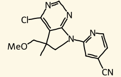 COCC1(C)CN(c2cc(C#N)ccn2)c2ncnc(Cl)c21